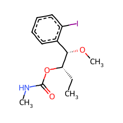 CC[C@H](OC(=O)NC)[C@@H](OC)c1ccccc1I